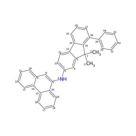 CC1(C)c2cc(Nc3cc4ccccc4c4ccccc34)ccc2-c2cccc(-c3ccccc3)c21